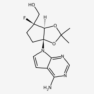 CC1(C)O[C@@H]2[C@@](F)(CO)CC[C@@]2(n2ccc3c(N)ncnc32)O1